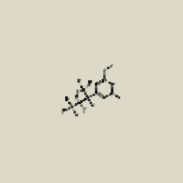 CCc1[c]c(C)cc(C(F)(C(F)(F)F)C(F)(F)C(F)(F)F)c1